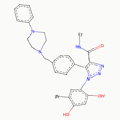 CCNC(=O)c1nnn(-c2cc(C(C)C)c(O)cc2O)c1-c1ccc(CN2CCN(c3ccccc3)CC2)cc1